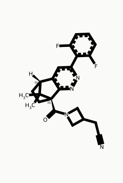 CC1(C)[C@@H]2CC[C@@]1(C(=O)N1CC(CC#N)C1)c1nnc(-c3c(F)cccc3F)cc12